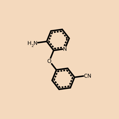 N#Cc1cccc(Oc2ncccc2N)c1